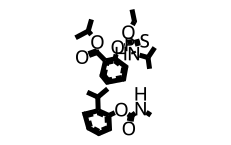 CCOP(=S)(NC(C)C)Oc1ccccc1C(=O)OC(C)C.CNC(=O)Oc1ccccc1C(C)C